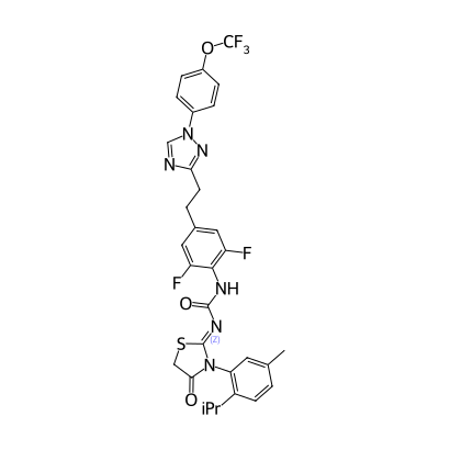 Cc1ccc(C(C)C)c(N2C(=O)CS/C2=N\C(=O)Nc2c(F)cc(CCc3ncn(-c4ccc(OC(F)(F)F)cc4)n3)cc2F)c1